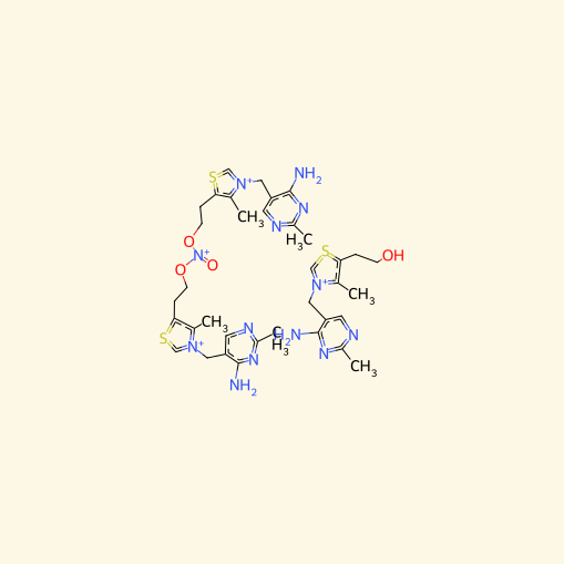 Cc1ncc(C[n+]2csc(CCO)c2C)c(N)n1.Cc1ncc(C[n+]2csc(CCO[N+](=O)OCCc3sc[n+](Cc4cnc(C)nc4N)c3C)c2C)c(N)n1